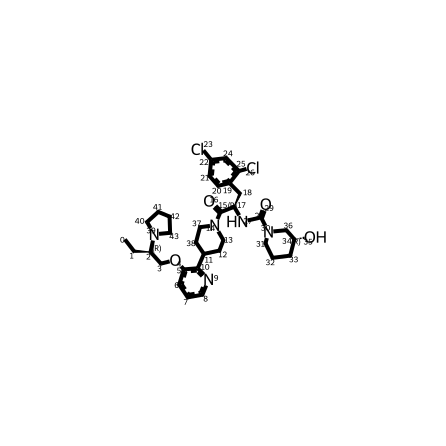 CC[C@H](COc1cccnc1C1CCN(C(=O)[C@@H](Cc2ccc(Cl)cc2Cl)NC(=O)N2CCC[C@@H](O)C2)CC1)N1CCCC1